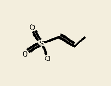 CC=CS(=O)(=O)Cl